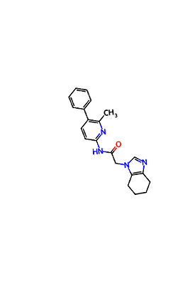 Cc1nc(NC(=O)Cn2cnc3c2CCCC3)ccc1-c1ccccc1